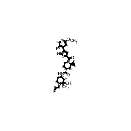 COc1cc(-c2cc(C(=O)N3CC[C@H](C(=O)N[C@@H]4CCN(CCF)C(C)(C)C4)CC34CC4)n[nH]2)c(F)cn1